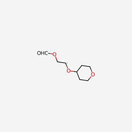 O=COC[CH]OC1CCOCC1